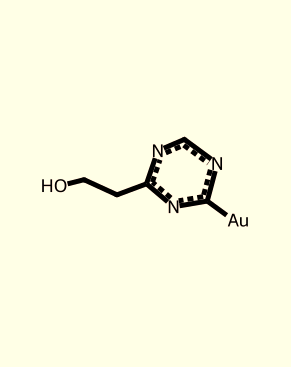 OCCc1ncn[c]([Au])n1